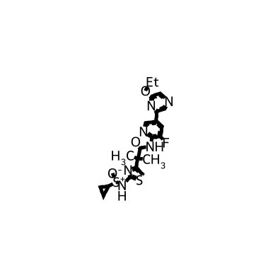 CCOc1cncc(-c2cnc(NC(=O)C(C)(C)c3csc(N[S+]([O-])C4CC4)n3)c(F)c2)n1